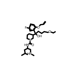 C=CCOc1ccc(F)cc1C(O)(CCCCOCC)C1CCCN(C(=O)NC(CNC)CC(C)C)C1